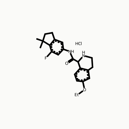 CCOc1ccc2c(c1)CCNC2C(=O)Nc1cc(F)c2c(c1)CCC2(C)C.Cl